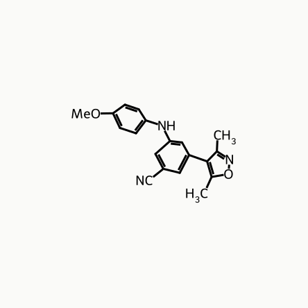 COc1ccc(Nc2cc(C#N)cc(-c3c(C)noc3C)c2)cc1